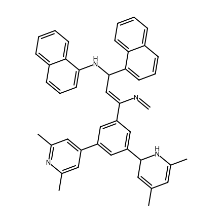 C=N/C(=C\C(Nc1cccc2ccccc12)c1cccc2ccccc12)c1cc(-c2cc(C)nc(C)c2)cc(C2C=C(C)C=C(C)N2)c1